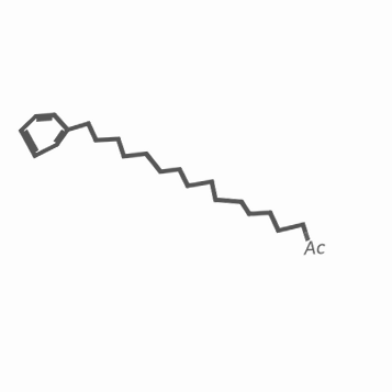 CC(=O)CCCCCCCCCCCCCCCc1ccccc1